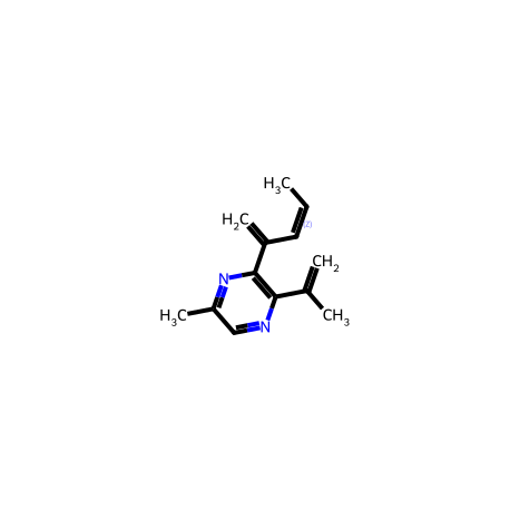 C=C(C)c1ncc(C)nc1C(=C)/C=C\C